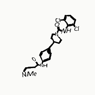 CNCCC(=O)Nc1ccc(C2CCN(C(=O)Nc3c(Cl)cccc3Cl)CC2)cc1